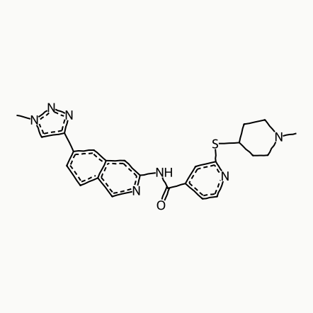 CN1CCC(Sc2cc(C(=O)Nc3cc4cc(-c5cn(C)nn5)ccc4cn3)ccn2)CC1